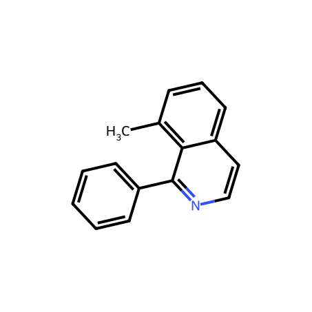 Cc1cccc2ccnc(-c3ccccc3)c12